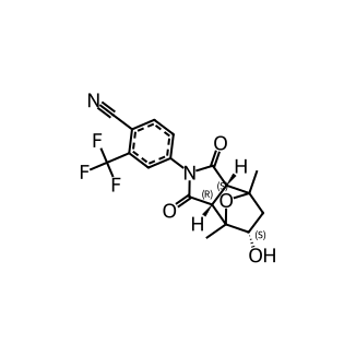 CC12C[C@H](O)C(C)(O1)[C@@H]1C(=O)N(c3ccc(C#N)c(C(F)(F)F)c3)C(=O)[C@@H]12